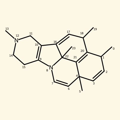 CC1C=CC2(C)C=CN3C4=C(CN(C)CC4)C4=CC(C)C1=C2C43C